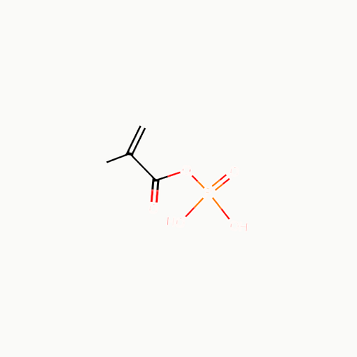 C=C(C)C(=O)OP(=O)(O)O